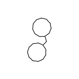 [CH]1CCCCCC(CC2CCCC[CH]CCCCC2)CCCC1